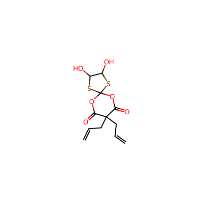 C=CCC1(CC=C)C(=O)OC2(OC1=O)SC(O)C(O)S2